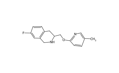 Cc1ccc(OCC2Cc3ccc(F)cc3CN2)nc1